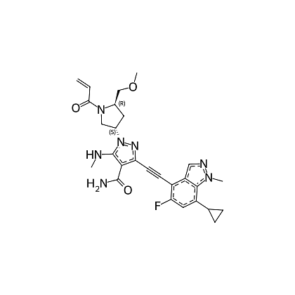 C=CC(=O)N1C[C@@H](n2nc(C#Cc3c(F)cc(C4CC4)c4c3cnn4C)c(C(N)=O)c2NC)C[C@@H]1COC